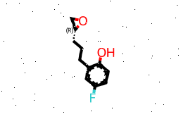 Oc1ccc(F)cc1CCC[C@@H]1CO1